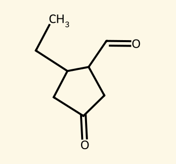 CCC1CC(=O)CC1C=O